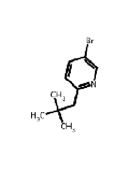 CC(C)(C)Cc1ccc(Br)cn1